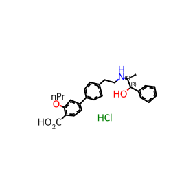 CCCOc1cc(-c2ccc(CCN[C@@H](C)[C@H](O)c3ccccc3)cc2)ccc1C(=O)O.Cl